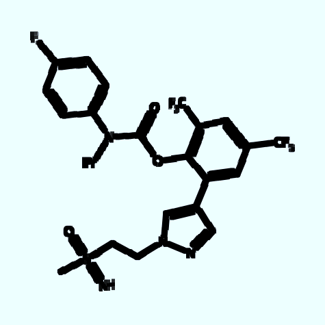 CC(C)N(C(=O)Oc1c(-c2cnn(CCS(C)(=N)=O)c2)cc(C(F)(F)F)cc1C(F)(F)F)c1ccc(F)cc1